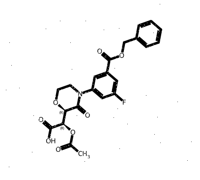 CC(=O)O[C@@H](C(=O)O)[C@H]1OCCN(c2cc(F)cc(C(=O)OCc3ccccc3)c2)C1=O